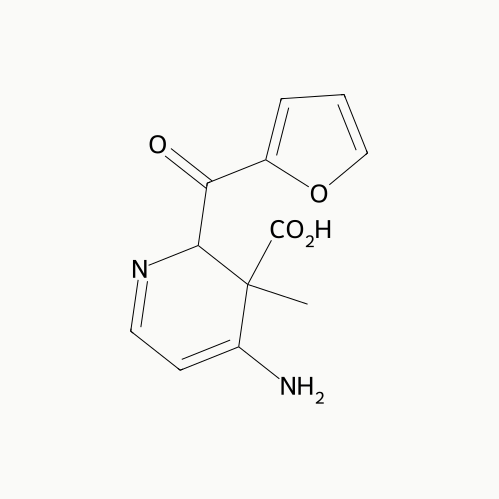 CC1(C(=O)O)C(N)=CC=NC1C(=O)c1ccco1